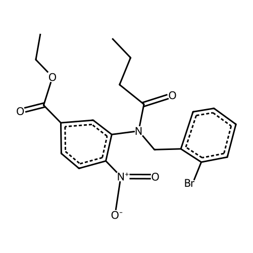 CCCC(=O)N(Cc1ccccc1Br)c1cc(C(=O)OCC)ccc1[N+](=O)[O-]